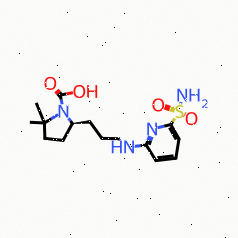 CC1(C)CC[C@H](CCCNc2cccc(S(N)(=O)=O)n2)N1C(=O)O